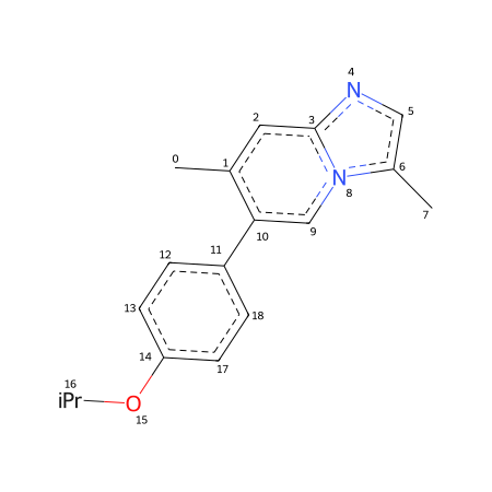 Cc1cc2ncc(C)n2cc1-c1ccc(OC(C)C)cc1